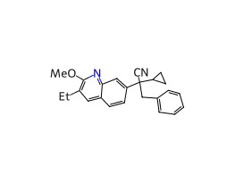 CCc1cc2ccc(C(C#N)(Cc3ccccc3)C3CC3)cc2nc1OC